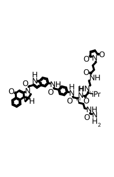 CC(C)[C@H](NCCNC(=O)CCCN1C(=O)C=CC1=O)C(=O)N[C@@H](CCCNC(N)=O)C(=O)Nc1ccc(C(=O)Nc2ccc3[nH]c(C(=O)N4C[C@H]5C[C@@]56C4=CC(=O)c4ccccc46)cc3c2)cc1